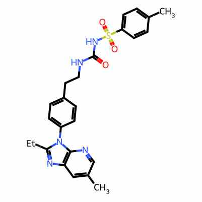 CCc1nc2cc(C)cnc2n1-c1ccc(CCNC(=O)NS(=O)(=O)c2ccc(C)cc2)cc1